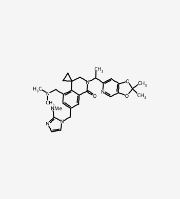 CNc1nccn1Cc1cc(CN(C)C)c2c(c1)C(=O)N(C(C)c1cc3c(cn1)OC(C)(C)O3)CC21CC1